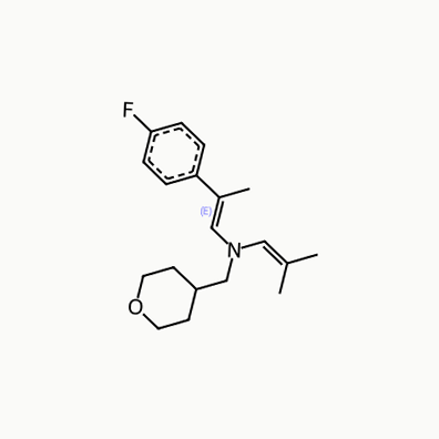 CC(C)=CN(/C=C(\C)c1ccc(F)cc1)CC1CCOCC1